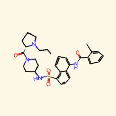 CCCN1CCC[C@H]1C(=O)N1CCC(NS(=O)(=O)c2cccc3c(NC(=O)c4ccccc4C)cccc23)CC1